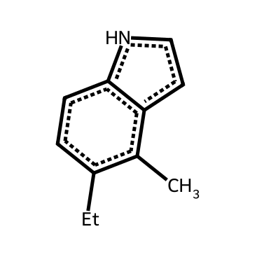 CCc1ccc2[nH]ccc2c1C